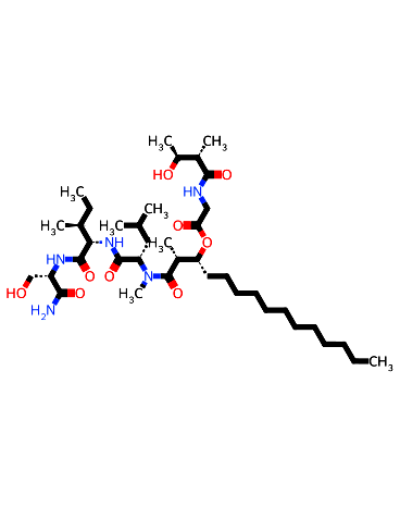 CCCCCCCCCCCC[C@@H](OC(=O)CNC(=O)[C@@H](C)[C@H](C)O)[C@@H](C)C(=O)N(C)[C@@H](CC(C)C)C(=O)N[C@H](C(=O)N[C@@H](CO)C(N)=O)[C@@H](C)CC